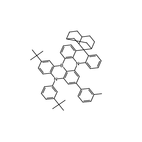 Cc1cccc(-c2cc3c4c(c2)N2c5ccccc5C5(c6cccc(c62)B4c2cc(C(C)(C)C)ccc2N3c2cccc(C(C)(C)C)c2)C2CCC3CCC(C2)CC35)c1